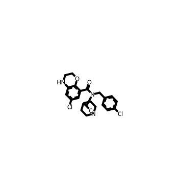 O=C(c1cc(Cl)cc2c1OCCN2)N(Cc1ccc(Cl)cc1)C1CN2CCC1CC2